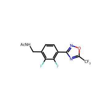 CC(=O)NCc1ccc(-c2noc(C(F)(F)F)n2)c(F)c1F